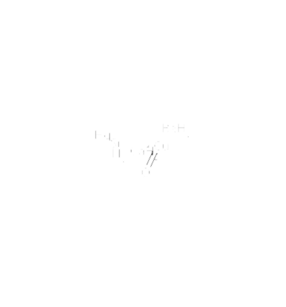 [BaH2].[CaH2].[Hg].[O]=[Cu].[SrH2]